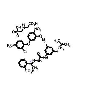 C/C(=N\NC(=O)Nc1cc(F)cc(F)c1)c1ncccc1C(=O)O.CCOc1cc(Oc2ccc(C(F)(F)F)cc2Cl)ccc1[N+](=O)[O-].C[S+](C)C.O=C(O)CNCP(=O)([O-])O